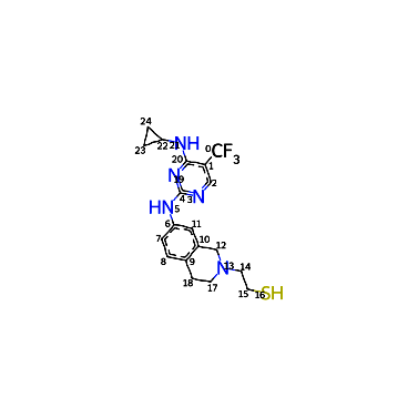 FC(F)(F)c1cnc(Nc2ccc3c(c2)CN(CCS)CC3)nc1NC1CC1